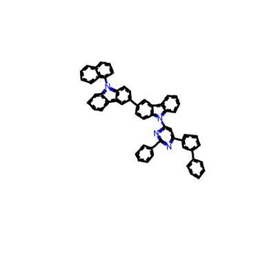 c1ccc(-c2cccc(-c3cc(-n4c5ccccc5c5cc(-c6ccc7c(c6)c6ccccc6n7-c6cccc7ccccc67)ccc54)nc(-c4ccccc4)n3)c2)cc1